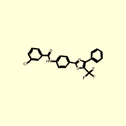 O=C(Nc1ccc(-c2nc(-c3ccccc3)c(C(F)(F)F)o2)cc1)c1cccc(Cl)c1